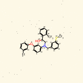 CCc1cccc(Oc2cccc(N(Cc3cccc(SC(F)(F)F)c3)CC(O)c3ccccc3C(F)(F)F)c2)c1